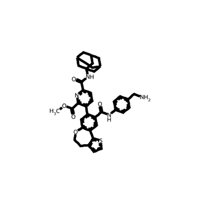 COC(=O)c1nc(C(=O)NC23CC4CC(CC(C4)C2)C3)ccc1-c1cc2c(cc1C(=O)Nc1ccc(CN)cc1)-c1sccc1CCO2